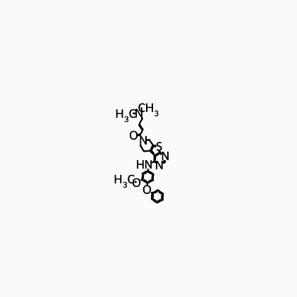 COc1cc(Nc2ncnc3sc4c(c23)CCN(C(=O)/C=C/CN(C)C)C4)ccc1Oc1ccccc1